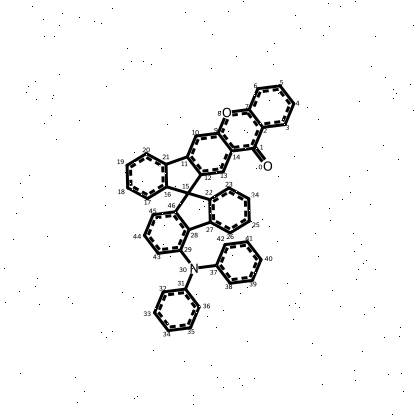 O=c1c2ccccc2oc2cc3c(cc12)C1(c2ccccc2-3)c2ccccc2-c2c(N(c3ccccc3)c3ccccc3)cccc21